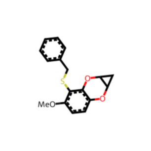 COc1ccc2c(c1SCc1ccccc1)OC1CC1O2